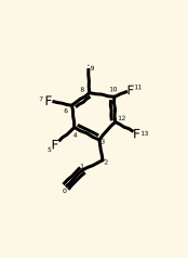 C#CCc1c(F)c(F)c([CH2])c(F)c1F